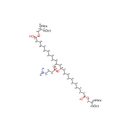 CCCCCCCCC(CCCCCC)COC(=O)CCCCCCCCCCCC(CCCCCCCCCCCCC(O)OCC(CCCCCC)CCCCCCCC)OC(=O)CCCN(C)C